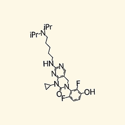 CC(C)N(CCCCCNc1ncc2c(n1)N(C1CC1)C(=O)N(c1c(F)ccc(O)c1F)C2)C(C)C